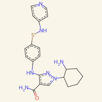 NC(=O)c1cn(C2CCCCC2N)nc1Nc1ccc(SNc2ccncc2)cc1